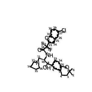 CC1(C)CCc2cc([C@@H](O)[C@@H](CN3CCCC3)NC(=O)C(F)(F)c3cc4cc(Cl)ccc4o3)ccc2O1